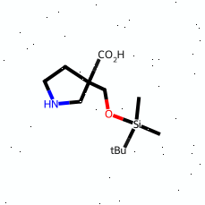 CC(C)(C)[Si](C)(C)OCC1(C(=O)O)CCNC1